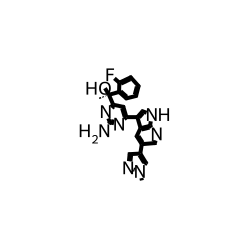 Cn1cc(-c2cnc3[nH]cc(-c4cc([C@@](C)(O)c5ccccc5F)nc(N)n4)c3c2)cn1